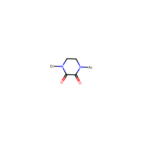 CCN1CCN(C(C)=O)C(=O)C1=O